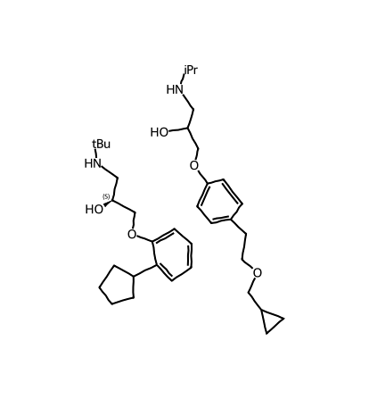 CC(C)(C)NC[C@H](O)COc1ccccc1C1CCCC1.CC(C)NCC(O)COc1ccc(CCOCC2CC2)cc1